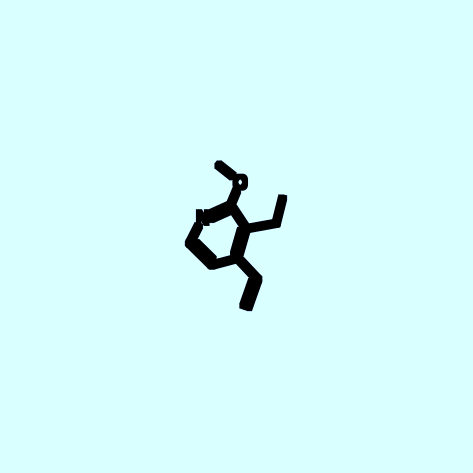 C=Cc1ccnc(OC)c1CC